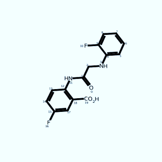 O=C(CNc1ccccc1F)Nc1ccc(F)cc1C(=O)O